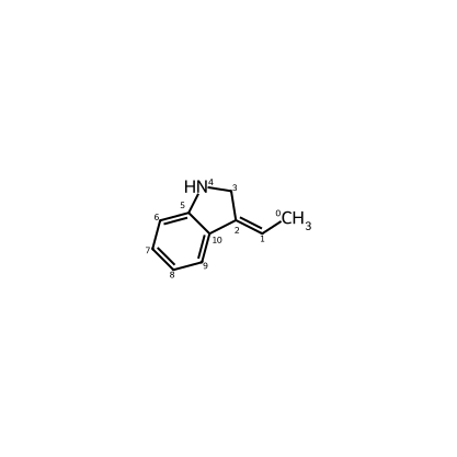 CC=C1CNc2ccccc21